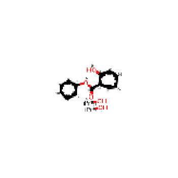 CC(C)O.CC(C)O.O=C(Oc1ccccc1)c1ccccc1O